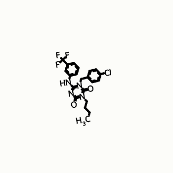 CCCCn1c(=O)nc(Nc2cccc(C(F)(F)F)c2)n(Cc2ccc(Cl)cc2)c1=O